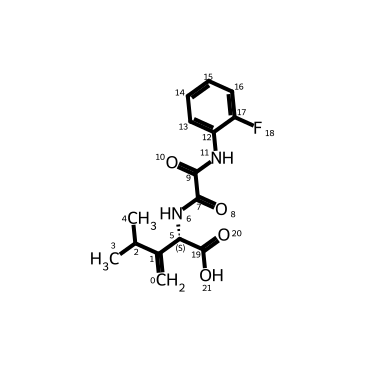 C=C(C(C)C)[C@H](NC(=O)C(=O)Nc1ccccc1F)C(=O)O